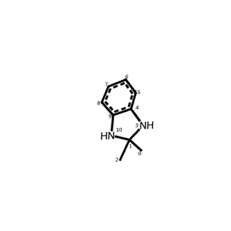 CC1(C)Nc2[c]cccc2N1